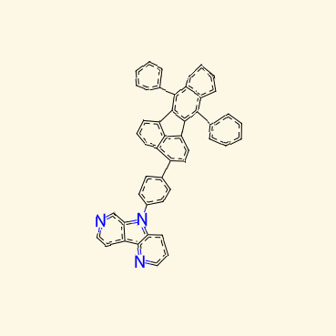 c1ccc(-c2c3c(c(-c4ccccc4)c4ccccc24)-c2ccc(-c4ccc(-n5c6cnccc6c6ncccc65)cc4)c4cccc-3c24)cc1